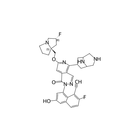 C#Cc1c(F)ccc2cc(O)cc(-n3ncc4c(C5CC6CNCC(C5)N6)nc(OC[C@@]56CCCN5C[C@H](F)C6)cc4c3=O)c12